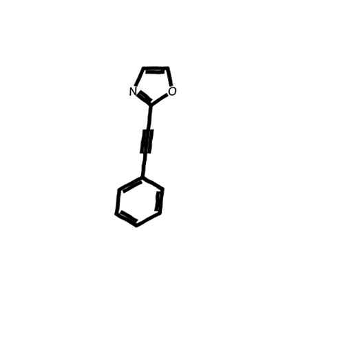 C(#Cc1ncco1)c1ccccc1